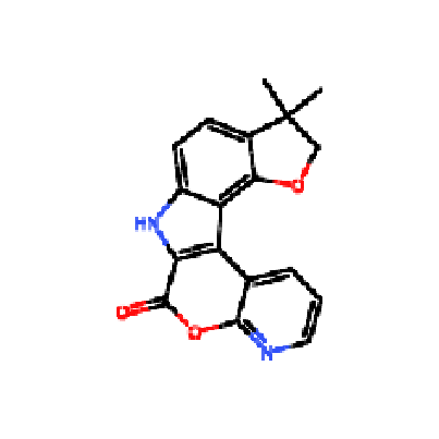 CC1(C)COc2c1ccc1[nH]c3c(=O)oc4ncccc4c3c21